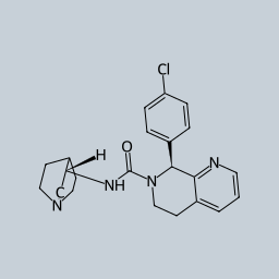 O=C(N[C@@H]1CN2CCC1CC2)N1CCc2cccnc2[C@@H]1c1ccc(Cl)cc1